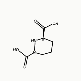 O=C(O)[C@H]1CCCN(C(=O)O)N1